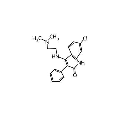 CN(C)CCNc1c(-c2ccccc2)c(=O)[nH]c2cc(Cl)ccc12